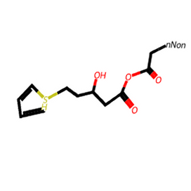 CCCCCCCCCCC(=O)OC(=O)CC(O)CC[SH]1C=CC=C1